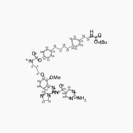 COc1c(OCCCN(C)C(=O)Oc2ccc(CCCCc3ccc(CCNC(=O)OC(C)(C)C)cc3)cc2)ccc2c1N=C(NC(=O)c1cnc(N)nc1)N1CCN=C21